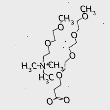 CC[N+](C)(C)CCOCCOC.COCCOCCOCCOCCC(=O)[O-]